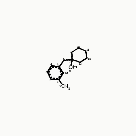 Cc1cccc(CC2(O)CCCCC2)c1